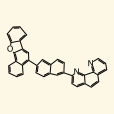 c1cnc2c(c1)ccc1ccc(-c3ccc4cc(-c5cc6c7ccccc7oc6c6ccccc56)ccc4c3)nc12